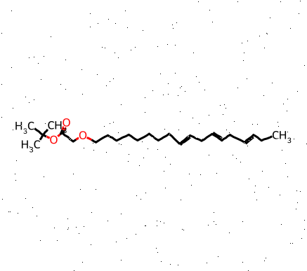 CCC=CCC=CCC=CCCCCCCCCOCC(=O)OC(C)(C)C